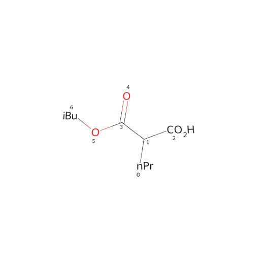 CCCC(C(=O)O)C(=O)OC(C)CC